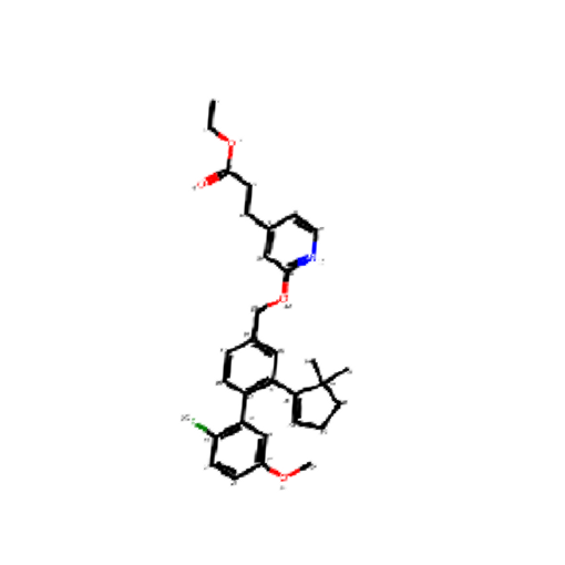 CCOC(=O)CCc1ccnc(OCc2ccc(-c3cc(OC)ccc3F)c(C3=CCCC3(C)C)c2)c1